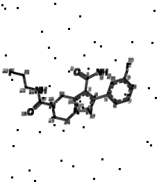 NC(=O)c1c(-c2cccc(F)c2)nn2c1CN(C(=O)NCCF)CC2